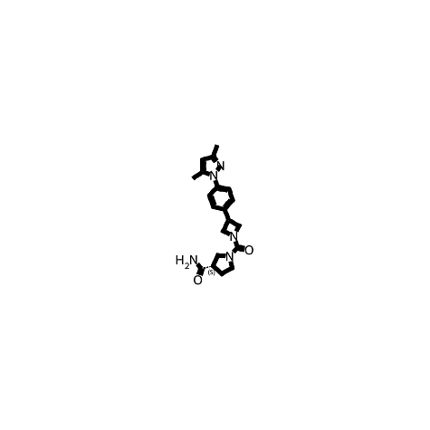 Cc1cc(C)n(-c2ccc(C3CN(C(=O)N4CC[C@H](C(N)=O)C4)C3)cc2)n1